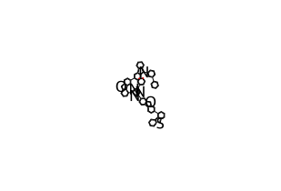 c1ccc(-c2cccc(-n3c4ccccc4c4cc(-c5ccc6oc7cccc(-c8nc(-c9ccccc9)nc(-c9ccc%10c(c9)oc9cc(-c%11cccc%12sc%13ccccc%13c%11%12)ccc9%10)n8)c7c6c5)ccc43)c2)cc1